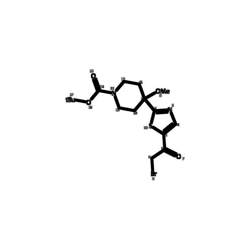 COC1(c2ncc(C(=O)CBr)s2)CCN(C(=O)OC(C)(C)C)CC1